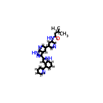 CC(C)CC(=O)Nc1cncc(-c2cnc3[nH]nc(-c4cc5c(-c6ccccn6)cccc5[nH]4)c3c2)c1